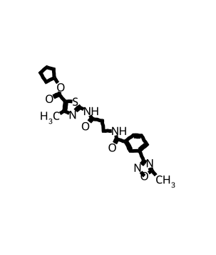 Cc1nc(-c2cccc(C(=O)NCCC(=O)Nc3nc(C)c(C(=O)OC4CCCC4)s3)c2)no1